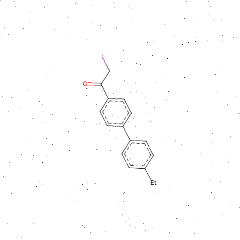 CCc1ccc(-c2ccc(C(=O)CI)cc2)cc1